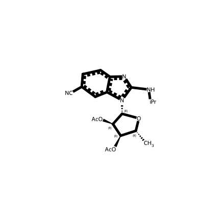 CC(=O)O[C@@H]1[C@H](OC(C)=O)[C@@H](C)O[C@H]1n1c(NC(C)C)nc2ccc(C#N)cc21